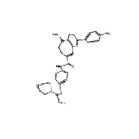 Cc1ccc(-c2ccc3c(c2)C=C(C(=O)Nc2ccc(CN(C)C4CCOCC4)cc2)CCN3C=O)cc1